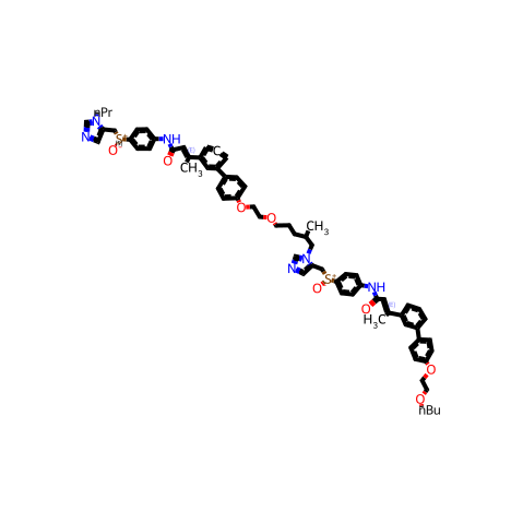 CCCCOCCOc1ccc(-c2cccc(/C(C)=C/C(=O)Nc3ccc([S+]([O-])Cc4cncn4CC(C)CCCOCCOc4ccc(-c5cccc(/C(C)=C/C(=O)Nc6ccc([S@+]([O-])Cc7cncn7CCC)cc6)c5)cc4)cc3)c2)cc1